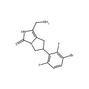 NCc1[nH]c(=S)n2c1CC(c1c(F)ccc(Br)c1F)C2